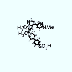 CNc1ccc(-c2ccnc3c2cc([C@H](C)N2CCC(c4ccc(C(=O)O)cc4)CC2)n3C)cn1